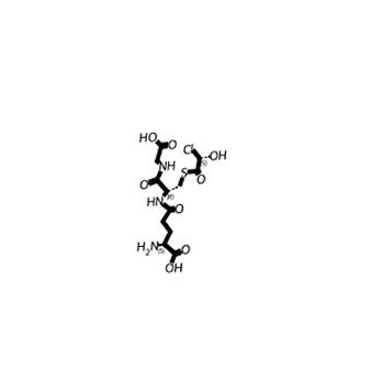 N[C@@H](CCC(=O)N[C@@H](CSC(=O)[C@@H](O)Cl)C(=O)NCC(=O)O)C(=O)O